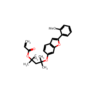 C=CC(=O)OC(C)(C)CC(C)(C)Oc1ccc2cc(-c3ccccc3OC)oc2c1